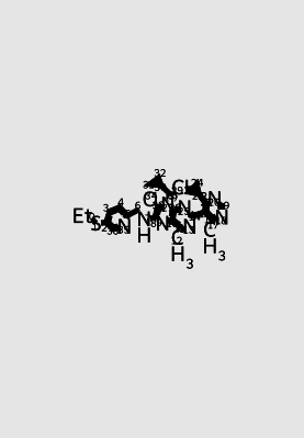 CCSc1ccc(CNc2nc3c(C)nc(-c4c(C)ncnc4C4CC4)nc3n([C@@H](C)C3CC3)c2=O)nc1